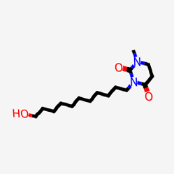 CN1CCC(=O)N(CCCCCCCCCCCO)C1=O